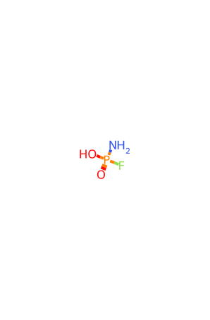 NP(=O)(O)F